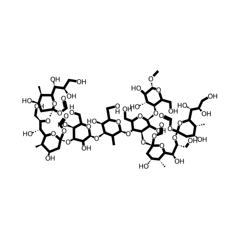 CO[C@@H]1OC(CO)[C@@H](O[C@@H]2OC(CO)[C@H](O[C@@H]3OC(CO)[C@H](O)[C@H](O[C@@H]4OC(CO)[C@H](O)[C@H](O[C@]5(OC=O)C[C@@H](O)[C@@H](C)C([C@H](O)[C@@H](CO)O[C@]6(OC=O)C[C@@H](O)[C@@H](C)C([C@H](O)[C@H](O)CO)O6)O5)C4O)C3C)[C@H](O[C@]3(OC=O)C[C@@H](O)[C@@H](C)C([C@H](O)[C@@H](CO)O[C@]4(OC=O)C[C@@H](O)[C@@H](C)C([C@H](O)[C@H](O)CO)O4)O3)C2O)[C@H](O)C1O